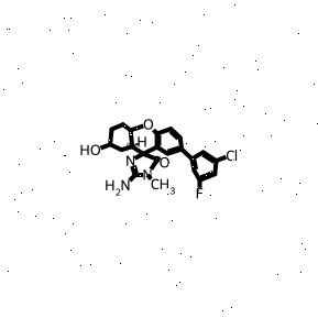 CN1C(=O)C2(N=C1N)c1cc(-c3cc(F)cc(Cl)c3)ccc1OC1CCC(O)C[C@@H]12